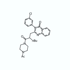 CCCCC(Cc1nc2ccccc2c(=O)n1-c1cccc(Cl)c1)C(=O)N1CCN(C(C)=O)CC1